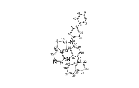 c1ccc(-c2ccc(-n3c4ccccc4c4c5c(ccc43)-c3cccc4cccc(c34)N5c3cccnc3)cc2)cc1